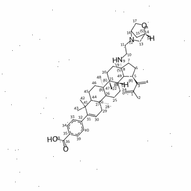 C=C(C)C(=C)[C@@H]1CC[C@]2(NCCN3C[C@@H]4CC3CO4)CC[C@]3(C)[C@@H](CCC4[C@@]5(C)CC=C(c6ccc(C(=O)O)cc6)C(C)(C)C5CC[C@]43C)C12